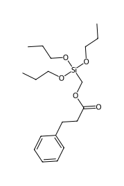 CCCO[Si](COC(=O)CCc1ccccc1)(OCCC)OCCC